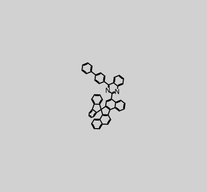 c1ccc(-c2ccc(-c3nc(-c4cc5c(c6ccccc46)-c4ccc6ccccc6c4C54c5ccccc5-c5ccccc54)nc4ccccc34)cc2)cc1